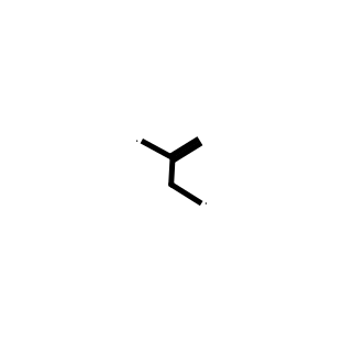 [CH2]CC([CH2])=C